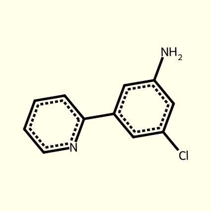 Nc1cc(Cl)cc(-c2ccccn2)c1